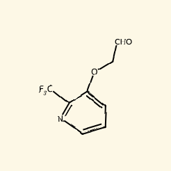 O=CCOc1cccnc1C(F)(F)F